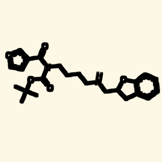 CC(C)(C)OC(=O)N(CCCCNCC1Cc2ccccc2O1)C(=O)c1ccoc1